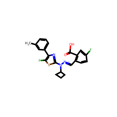 Cc1cccc(-c2nc(N(/N=C/c3ccc(F)cc3C(=O)O)C3CCC3)sc2F)c1